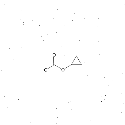 [O]C(=O)OC1CC1